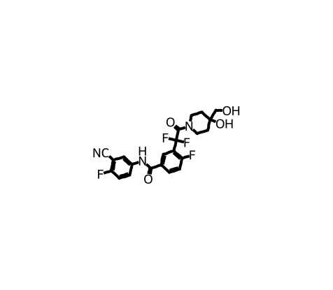 N#Cc1cc(NC(=O)c2ccc(F)c(C(F)(F)C(=O)N3CCC(O)(CO)CC3)c2)ccc1F